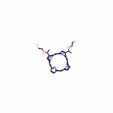 CC(OCCF)C1=Cc2cc3[nH]c(cc4nc(cc5ccc(cc1n2)[nH]5)C=C4)cc3C(C)OCCF